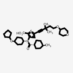 CC(C)(C#Cc1cc(N(C(=O)[C@H]2CC[C@H](C)CC2)[C@H]2CC[C@H](OC3CCCC3)CC2)c(C(=O)O)s1)CCOC1CCOCC1